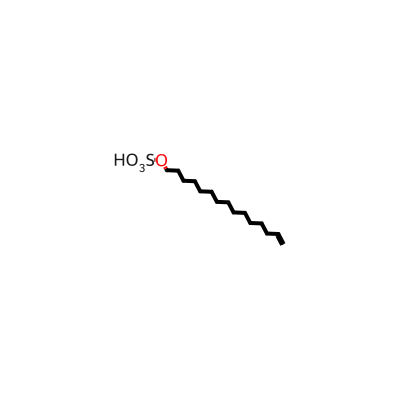 C=CCCCCCCCCCCCCCOS(=O)(=O)O